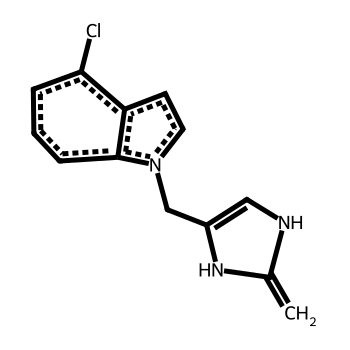 C=C1NC=C(Cn2ccc3c(Cl)cccc32)N1